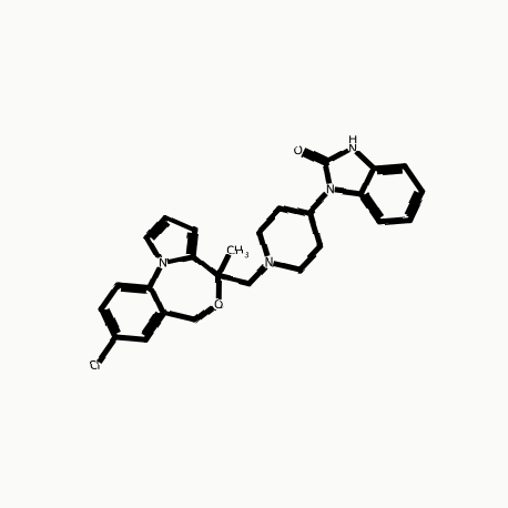 CC1(CN2CCC(n3c(=O)[nH]c4ccccc43)CC2)OCc2cc(Cl)ccc2-n2cccc21